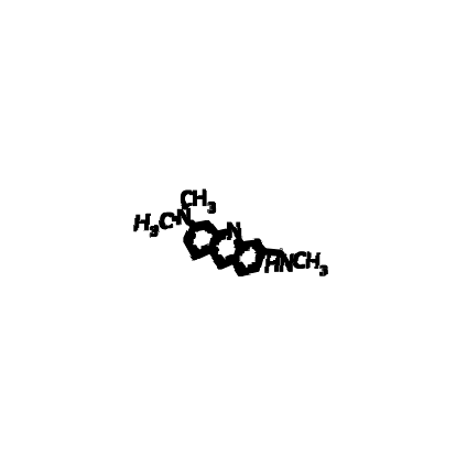 CNCc1ccc2cc3ccc(N(C)C)cc3nc2c1